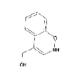 OCC1=CNOc2ccccc21